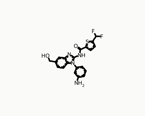 Nc1cccc(-n2c(NC(=O)c3ccc(C(F)F)s3)nc3cc(CO)ccc32)c1